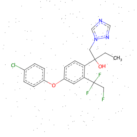 CCC(O)(Cn1cncn1)c1ccc(Oc2ccc(Cl)cc2)cc1C(F)(F)CF